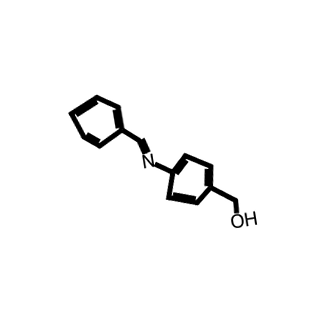 OCc1ccc(/N=C/c2ccccc2)cc1